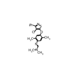 Cc1cc(Oc2snc(C(C)C)c2Cl)c(C)cc1N=CN(C)C